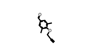 C#CCOc1c(C)cc(C=O)cc1C